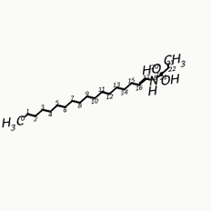 CCCCCCCCCCCCCCCCC=CNC(O)(O)CC